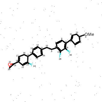 COC1C=CC(c2ccc(CCc3ccc(C4CC=C(C5CO5)C=C4F)cc3)c(F)c2F)=CC1